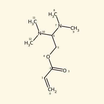 C=CC(=O)OCC(N(C)C)N(C)C